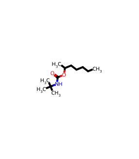 CCCCCC(C)OC(=O)NC(C)(C)C